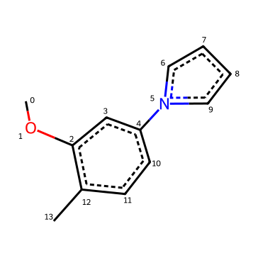 COc1cc(-n2cccc2)ccc1C